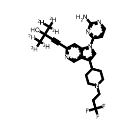 [2H]C([2H])([2H])C(O)(C#Cc1cc2c(cn1)c(C1CCN(CCC(F)(F)F)CC1)cn2-c1ccnc(N)n1)C([2H])([2H])[2H]